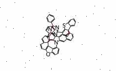 c1ccc(-c2nc(-c3ccc4ccc5oc6cccc(-n7c8cc9ccccc9cc8c8c9ccccc9ccc87)c6c5c4c3)nc(-c3cccc4c3sc3ccccc34)n2)cc1